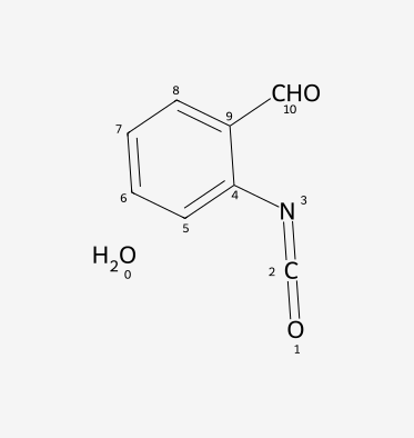 O.O=C=Nc1ccccc1C=O